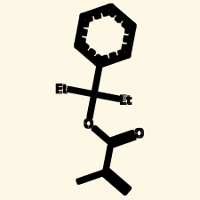 C=C(C)C(=O)OC(CC)(CC)c1ccccc1